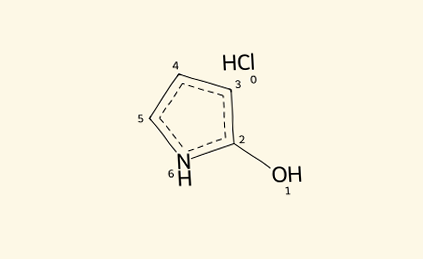 Cl.Oc1ccc[nH]1